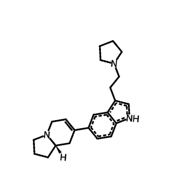 C1=C(c2ccc3[nH]cc(CCN4CCCC4)c3c2)C[C@@H]2CCCN2C1